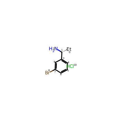 CC[C@@H](N)c1cccc(Br)c1.Cl